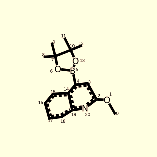 COc1cc(B2OC(C)(C)C(C)(C)O2)c2ccccc2n1